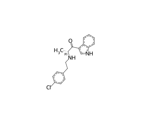 C[C@@H](NCCc1ccc(Cl)cc1)C(=O)c1c[nH]c2ccccc12